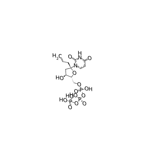 C=CC[C@]1(n2ccc(=O)[nH]c2=O)C[C@H](O)[C@@H](COP(=O)(O)OP(=O)(O)OP(=O)(O)O)O1